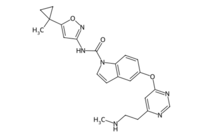 CNCCc1cc(Oc2ccc3c(ccn3C(=O)Nc3cc(C4(C)CC4)on3)c2)ncn1